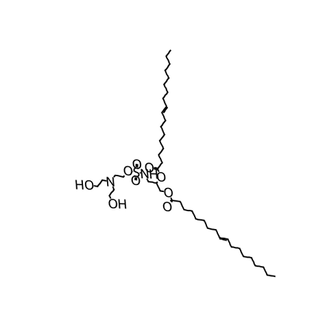 CCCCCCCCC=CCCCCCCCC(=O)OCC(CNS(=O)(=O)OCCN(CCO)CCO)OC(=O)CCCCCCCC=CCCCCCCCC